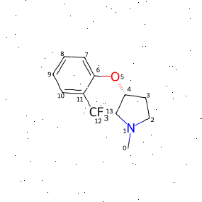 CN1CC[C@@H](Oc2ccccc2C(F)(F)F)C1